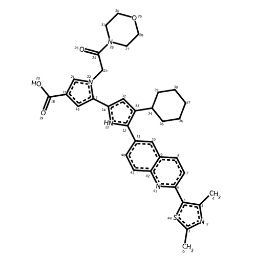 Cc1nc(C)c(-c2ccc3cc(-c4[nH]c(-c5cc(C(=O)O)cn5CC(=O)N5CCOCC5)cc4C4CCCCC4)ccc3n2)s1